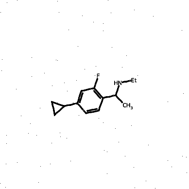 CCNC(C)c1ccc(C2CC2)cc1F